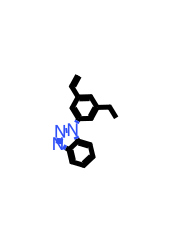 C=Cc1cc(CC)cc(-n2nnc3ccccc32)c1